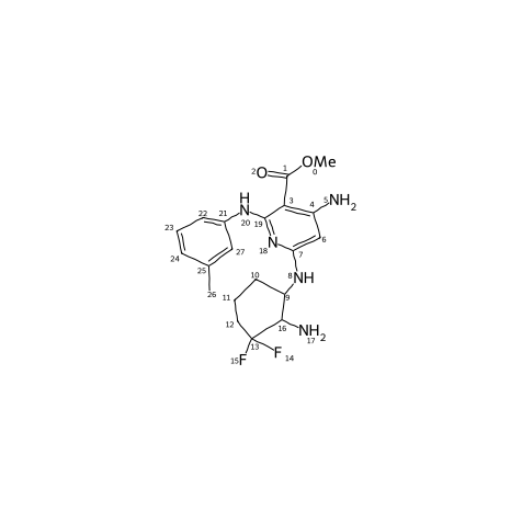 COC(=O)c1c(N)cc(NC2CCCC(F)(F)C2N)nc1Nc1cccc(C)c1